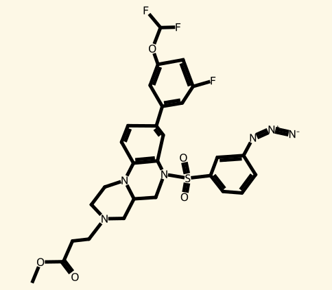 COC(=O)CCN1CCN2c3ccc(-c4cc(F)cc(OC(F)F)c4)cc3N(S(=O)(=O)c3cccc(N=[N+]=[N-])c3)CC2C1